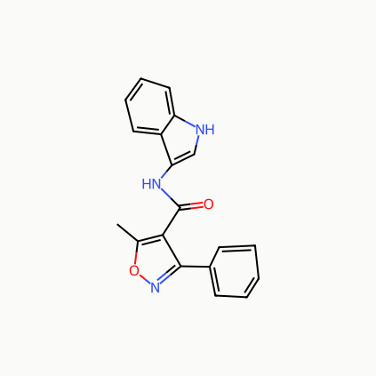 Cc1onc(-c2ccccc2)c1C(=O)Nc1c[nH]c2ccccc12